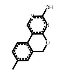 Cc1ccc2c(c1)COc1nc(O)ncc1-2